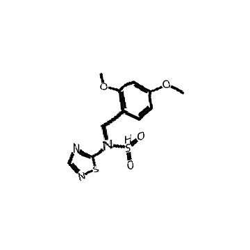 COc1ccc(CN(c2ncns2)[SH](=O)=O)c(OC)c1